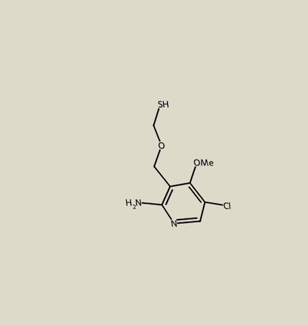 COc1c(Cl)cnc(N)c1COCS